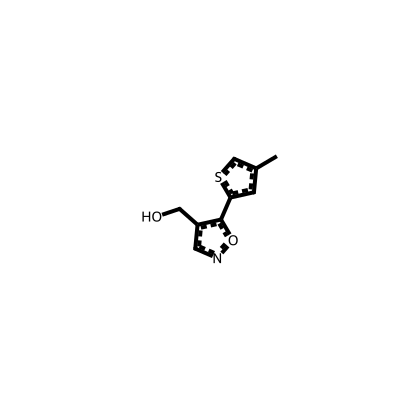 Cc1csc(-c2oncc2CO)c1